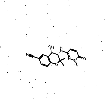 Cn1nc(N[C@H]2[C@@H](O)c3cc(C#N)ccc3OC2(C)C)ccc1=O